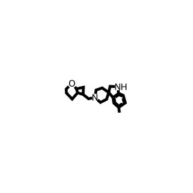 Cc1ccc2c(c1)C1(CCN(CC3CC4OCCCC34)CC1)CN2